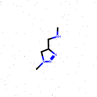 CNCC1CN(C)N=N1